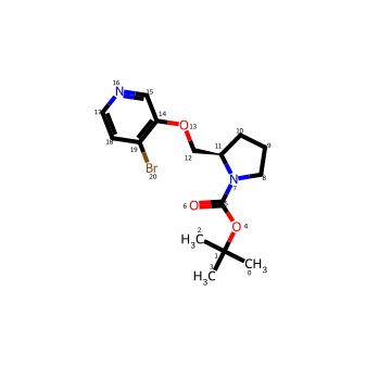 CC(C)(C)OC(=O)N1CCC[C@@H]1COc1cnccc1Br